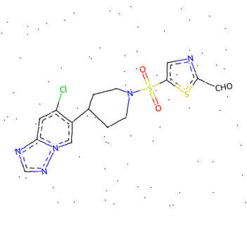 O=Cc1ncc(S(=O)(=O)N2CCC(c3cn4ncnc4cc3Cl)CC2)s1